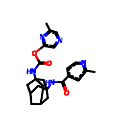 Cc1cc(C(=O)NC23CC4CC(CC(NC(=O)Oc5cncc(C)n5)(C4)C2)C3)ccn1